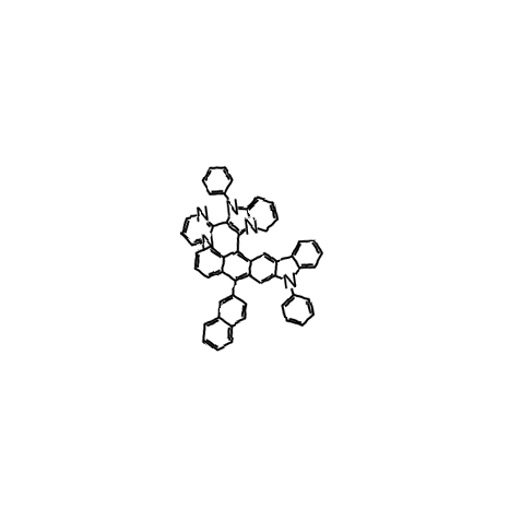 C1=CCN2C(=C1)N(c1ccccc1)C(c1ncccn1)=C2c1c2ccccc2c(-c2ccc3ccccc3c2)c2cc3c(cc12)c1ccccc1n3-c1ccccc1